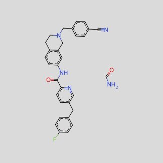 N#Cc1ccc(CN2CCc3ccc(NC(=O)c4ccc(Cc5ccc(F)cc5)cn4)cc3C2)cc1.NC=O